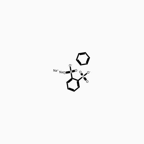 O=S(=O)([O-])c1ccccc1S(=O)(=O)[O-].[Na+].[Na+].c1ccccc1